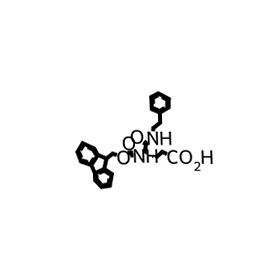 O=C(O)CC[C@H](NC(=O)OCC1c2ccccc2-c2ccccc21)C(=O)NCCc1ccccc1